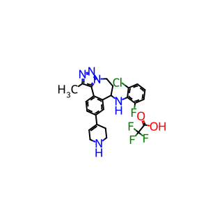 Cc1nnn2c1-c1ccc(C3=CCNCC3)cc1C(Nc1c(F)cccc1Cl)CC2.O=C(O)C(F)(F)F